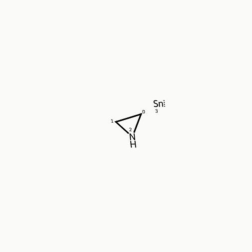 C1CN1.[Sn]